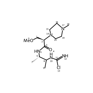 COC[C@H](C(=O)N[C@@H](C)C(C)NC(=N)Cl)N1CCN(C)CC1